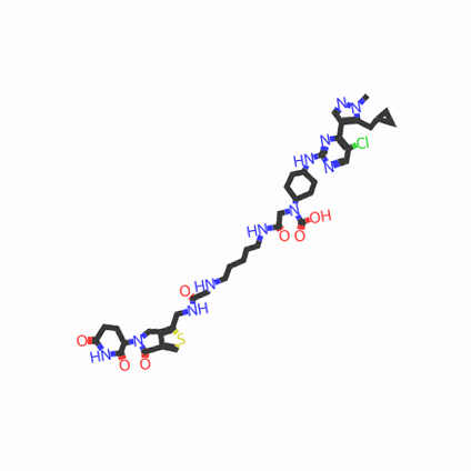 Cn1ncc(-c2nc(NC3CCC(N(CC(=O)NCCCCCNCC(=O)NCc4scc5c4CN(C4CCC(=O)NC4=O)C5=O)C(=O)O)CC3)ncc2Cl)c1CC1CC1